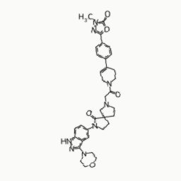 Cn1nc(-c2ccc(C3=CCN(C(=O)CN4CCC5(CCN(c6ccc7[nH]nc(N8CCOCC8)c7c6)C5=O)C4)CC3)cc2)oc1=O